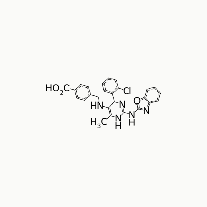 CC1=C(NCc2ccc(C(=O)O)cc2)C(c2ccccc2Cl)N=C(Nc2nc3ccccc3o2)N1